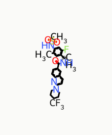 Cc1cc([C@@H](C)NC(=O)c2ccc3nc(N4CCC(C(F)(F)F)CC4)ccc3c2)c(F)cc1NS(C)(=O)=O